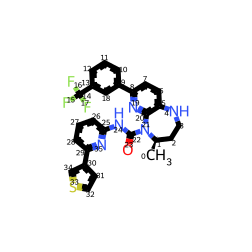 C[C@@H]1CCNc2ccc(-c3cccc(C(F)(F)F)c3)nc2N1C(=O)Nc1cccc(-c2ccsc2)n1